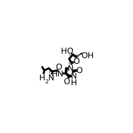 CC(C)C[C@H](N)C(=O)Nc1cn([C@H]2C[C@H](O)[C@@H](CO)O2)c(=O)[nH]c1=O